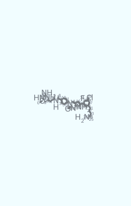 COC[C@H](CCN[C@@H](C)c1ccc(-n2cc3cc(-c4cc(CCC[C@H](C)N)cc(Cl)c4F)[nH]c3nc2=O)cc1)NC(=N)N